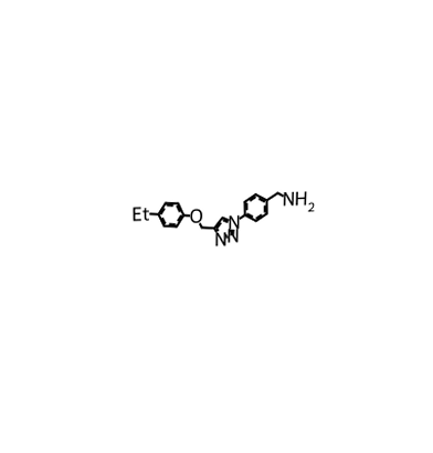 CCc1ccc(OCc2cn(-c3ccc(CN)cc3)nn2)cc1